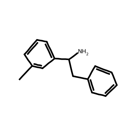 Cc1cccc(C(N)Cc2ccccc2)c1